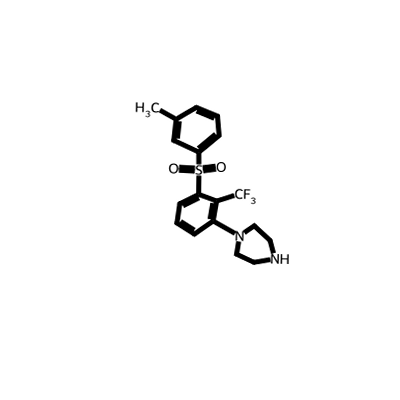 Cc1cccc(S(=O)(=O)c2cccc(N3CCNCC3)c2C(F)(F)F)c1